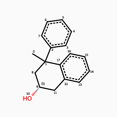 CC1(c2ccccc2)C[C@@H](O)Cc2ccccc21